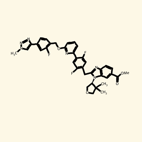 COC(=O)c1ccc2nc(Cc3cc(F)c(-c4cccc(OCc5ccc(-c6cn(C)nn6)cc5F)n4)cc3F)n([C@@H]3COCC3(C)C)c2c1